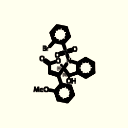 COc1ccccc1C1=CC(=O)O[C@]12[C@@H](O)c1ccccc1N2S(=O)(=O)c1ccccc1Br